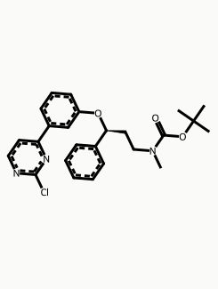 CN(CC[C@H](Oc1cccc(-c2ccnc(Cl)n2)c1)c1ccccc1)C(=O)OC(C)(C)C